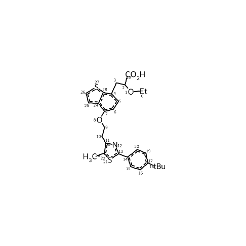 CCOC(Cc1ccc(OCCc2nc(-c3ccc(C(C)(C)C)cc3)sc2C)c2ccsc12)C(=O)O